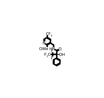 COc1ncc(C(F)(F)F)cc1CNC(=O)[C@](O)(c1ccccc1)C(F)(F)C(F)(F)F